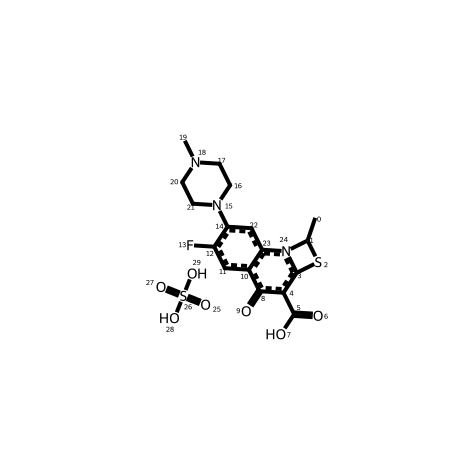 CC1Sc2c(C(=O)O)c(=O)c3cc(F)c(N4CCN(C)CC4)cc3n21.O=S(=O)(O)O